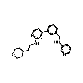 c1cncc(NCc2cccc(-c3ccnc(NCCN4CCOCC4)n3)c2)c1